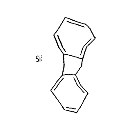 [Si].c1ccc2c(c1)-c1ccccc1-2